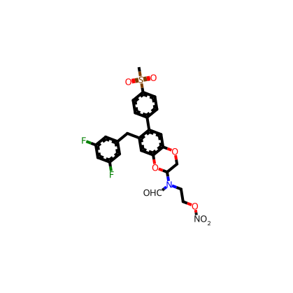 CS(=O)(=O)c1ccc(-c2cc3c(cc2Cc2cc(F)cc(F)c2)OC(N(C=O)CCO[N+](=O)[O-])CO3)cc1